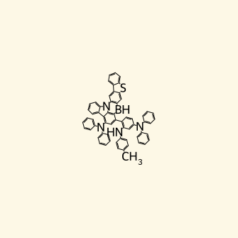 Cc1ccc(Nc2cc(N(c3ccccc3)c3ccccc3)ccc2-c2cc(N(c3ccccc3)c3ccccc3)c3c4ccccc4n4c3c2Bc2cc3sc5ccccc5c3cc2-4)cc1